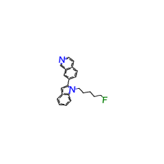 FCCCCCn1c(-c2ccc3ccncc3c2)cc2ccccc21